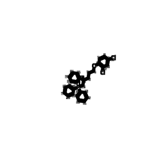 O=C(CCCOc1ccc(Cl)cc1Cl)C[PH](c1ccccc1)(c1ccccc1)c1ccccc1